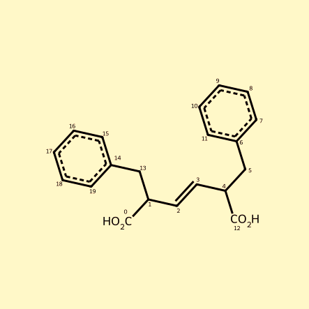 O=C(O)C(C=CC(Cc1ccccc1)C(=O)O)Cc1ccccc1